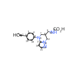 C#Cc1ccc(N2CC(CNC(=O)O)Cn3nccc32)cc1